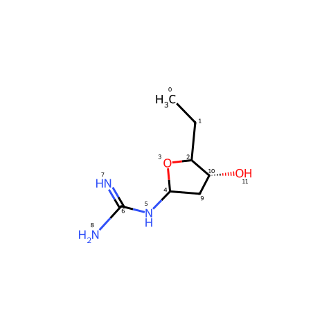 CCC1OC(NC(=N)N)C[C@H]1O